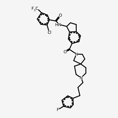 O=C(NC1CCc2ccc(C(=O)N3CCC4(CCN(CCCc5ccc(F)cc5)CC4)C3)cc21)c1cc(C(F)(F)F)ccc1Cl